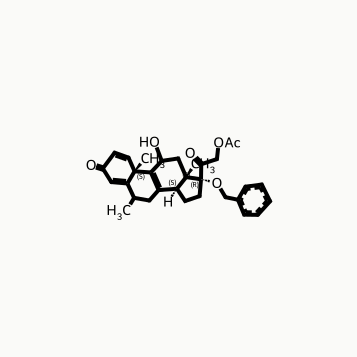 CC(=O)OCC(=O)[C@@]1(OCc2ccccc2)CC[C@H]2C3=C(C(O)C[C@@]21C)[C@@]1(C)C=CC(=O)C=C1C(C)C3